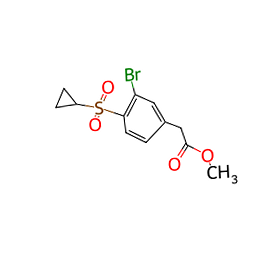 COC(=O)Cc1ccc(S(=O)(=O)C2CC2)c(Br)c1